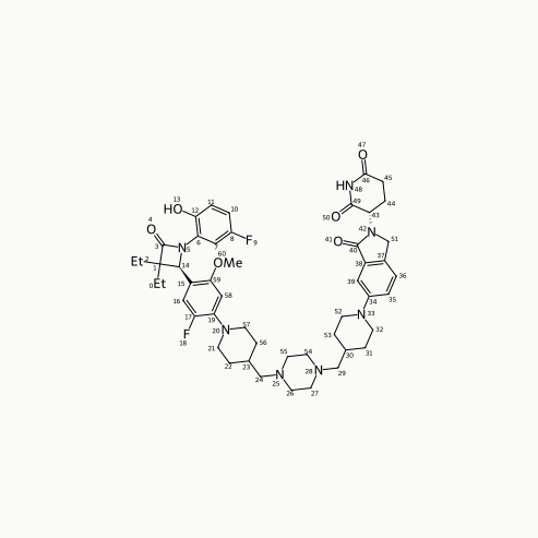 CCC1(CC)C(=O)N(c2cc(F)ccc2O)[C@H]1c1cc(F)c(N2CCC(CN3CCN(CC4CCN(c5ccc6c(c5)C(=O)N([C@H]5CCC(=O)NC5=O)C6)CC4)CC3)CC2)cc1OC